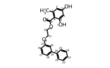 Cc1cc(O)cc(O)c1C(=O)OCCOc1cccc(-c2ccccc2)c1